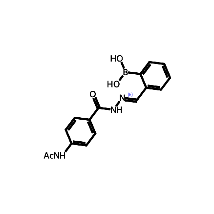 CC(=O)Nc1ccc(C(=O)N/N=C/c2ccccc2B(O)O)cc1